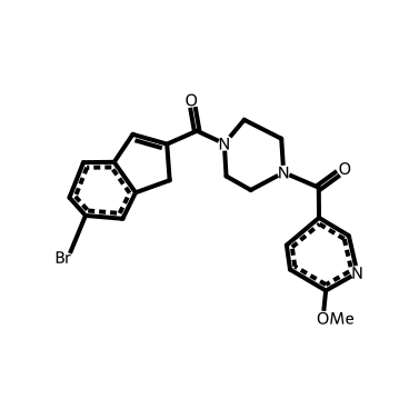 COc1ccc(C(=O)N2CCN(C(=O)C3=Cc4ccc(Br)cc4C3)CC2)cn1